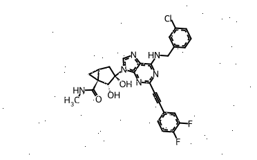 CNC(=O)[C@@]12CC1C[C@](O)(n1cnc3c(NCc4cccc(Cl)c4)nc(C#Cc4ccc(F)c(F)c4)nc31)[C@@H]2O